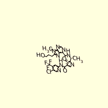 C[C@@H](NC(=O)c1ncnc2c1nc(CCCO)n2C)c1ncc(C(=O)Nc2cc(C(F)(F)F)c(Cl)cn2)s1